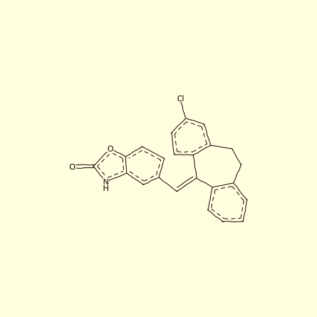 O=c1[nH]c2cc(C=C3c4ccccc4CCc4cc(Cl)ccc43)ccc2o1